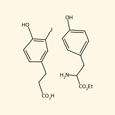 CCOC(=O)C(N)Cc1ccc(O)cc1.O=C(O)CCc1ccc(O)c(I)c1